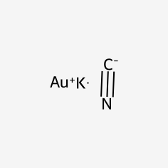 [Au+].[C-]#N.[K]